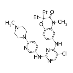 CCC1(CC)Oc2ccc(Nc3nc(Nc4ccc(N5CCN(C)CC5)nc4)ncc3Cl)cc2N(C)C1=O